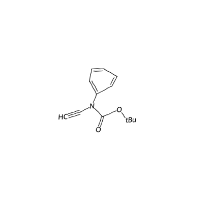 C#CN(C(=O)OC(C)(C)C)c1ccccc1